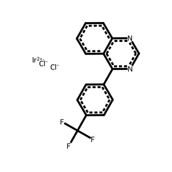 FC(F)(F)c1ccc(-c2ncnc3ccccc23)cc1.[Cl-].[Cl-].[Ir+2]